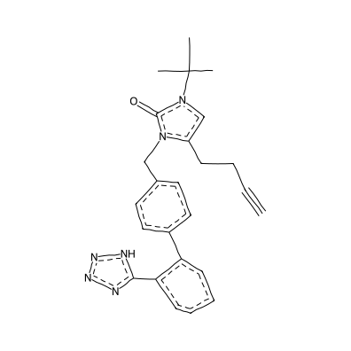 C#CCCc1cn(C(C)(C)C)c(=O)n1Cc1ccc(-c2ccccc2-c2nnn[nH]2)cc1